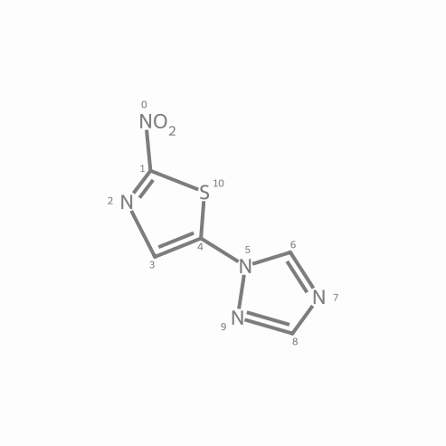 O=[N+]([O-])c1ncc(-n2cncn2)s1